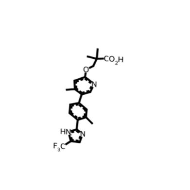 Cc1cc(OCC(C)(C)C(=O)O)ncc1-c1ccc(-c2ncc(C(F)(F)F)[nH]2)c(C)c1